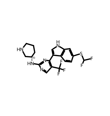 FC(F)Sc1ccc2c(-c3nc(N[C@H]4CCCNC4)ncc3C(F)(F)F)c[nH]c2c1